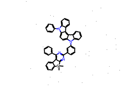 C[Si]1(C)c2ccccc2-c2c(-c3ccccc3)nc(-c3cccc(-n4c5ccccc5c5c6c7ccccc7n(-c7ccccc7)c6ccc54)c3)nc21